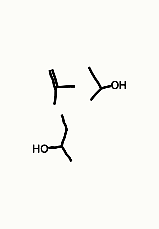 C=C(C)C.CC(C)O.CCC(C)O